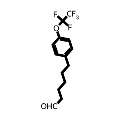 O=CCCCCCc1ccc(OC(F)(F)C(F)(F)F)cc1